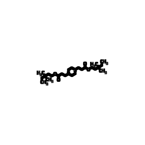 CCC(C)(C)CCOC(=O)CCN1CCN(CCC(=O)OCCC(C)(C)CC)CC1